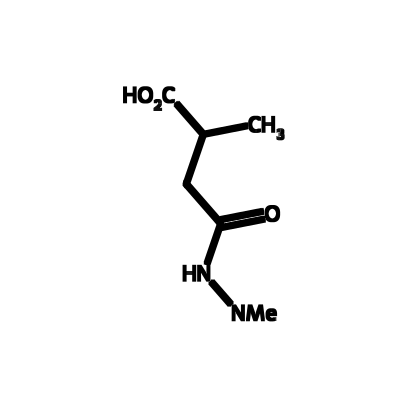 CNNC(=O)CC(C)C(=O)O